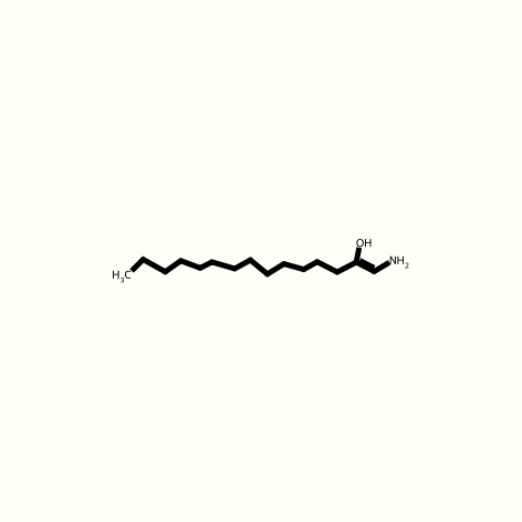 CCCCCCCCCCCCCC(O)=CN